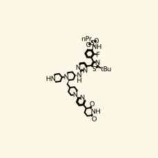 CCCS(=O)(=O)Nc1cccc(-c2nc(C(C)(C)C)sc2-c2ccnc(N[C@H]3CCN(C4CCNCC4)[C@H](CC4CCN(c5ccc(C6CCC(=O)NC6=O)cn5)CC4)C3)n2)c1F